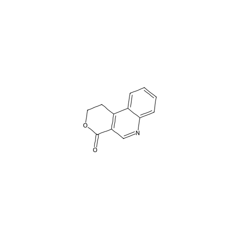 O=C1OCCc2c1cnc1ccccc21